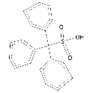 O=S(=O)(O)C(c1ccccc1)(c1ccccc1)c1ccccc1